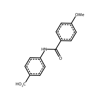 COc1ccc(C(=O)Nc2ccc(C(=O)O)cc2)cc1